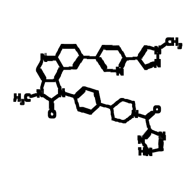 Cn1cc(-c2ccc(-c3ccc4ncc5c(c4c3)n(-c3ccc(C4CCN(C(=O)c6nc[nH]n6)CC4)cc3)c(=O)n5C)cn2)cn1